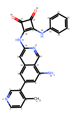 Cc1ccncc1-c1cc(N)c2cnc(Nc3c(Nc4ccccc4)c(=O)c3=O)cc2c1